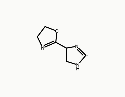 [C]1=NC(C2=NCCO2)CN1